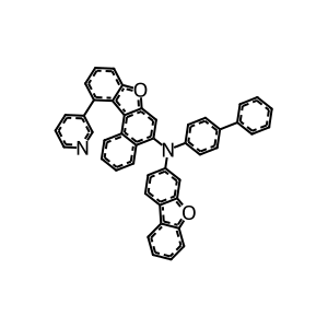 c1ccc(-c2ccc(N(c3ccc4c(c3)oc3ccccc34)c3cc4oc5cccc(-c6cccnc6)c5c4c4ccccc34)cc2)cc1